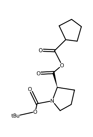 CC(C)(C)OC(=O)N1CCC[C@@H]1C(=O)OC(=O)C1CCCC1